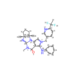 CN1C(=O)c2c(cn(Cc3ccc(C(C)(F)F)nc3)c2Nc2ccccc2)N2C1=N[C@@H]1CCC[C@@H]12